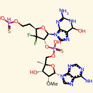 CO[C@H]1[C@@H](n2cnc3c(N)ncnc32)O[C@](C)(COP(O)(=S)O[C@H]2[C@H](n3cnc4c3N=C(N)NC4O)O[C@H](CCO[PH](O)=S)C2(F)F)[C@H]1O